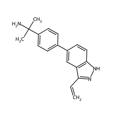 C=Cc1n[nH]c2ccc(-c3ccc(C(C)(C)N)cc3)cc12